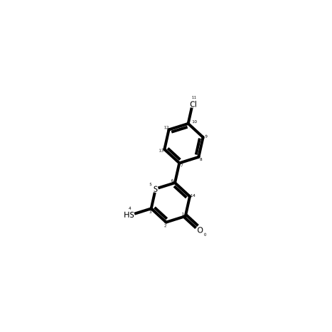 O=c1cc(S)sc(-c2ccc(Cl)cc2)c1